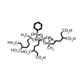 C[Si](C)(CCCC(CC(=O)O)C(=O)O)O[Si](C)(CCCC(CC(=O)O)C(=O)O)O[Si](C)(O[Si](C)(C)CCCC(CC(=O)O)C(=O)O)c1ccccc1